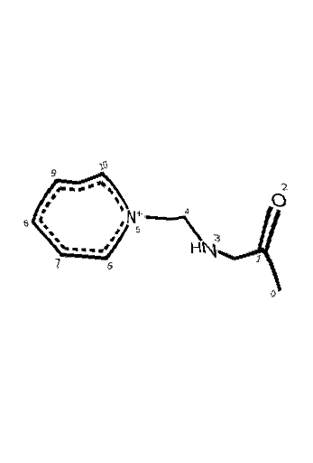 CC(=O)NC[n+]1ccccc1